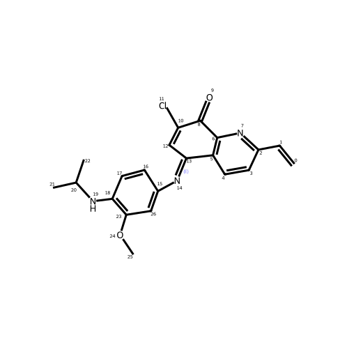 C=Cc1ccc2c(n1)C(=O)C(Cl)=C/C2=N\c1ccc(NC(C)C)c(OC)c1